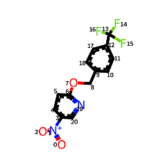 O=[N+]([O-])c1ccc(OCc2ccc(C(F)(F)F)cc2)nc1